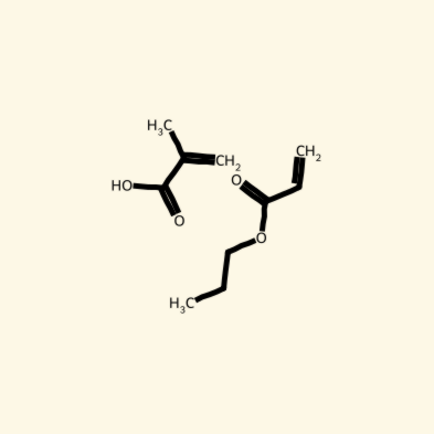 C=C(C)C(=O)O.C=CC(=O)OCCC